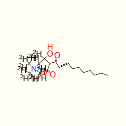 [2H]C(O)(C(C(=O)[O-])C(=O)C=CCCCCCCC)C([2H])([2H])[N+](C([2H])([2H])[2H])(C([2H])([2H])[2H])C([2H])([2H])[2H]